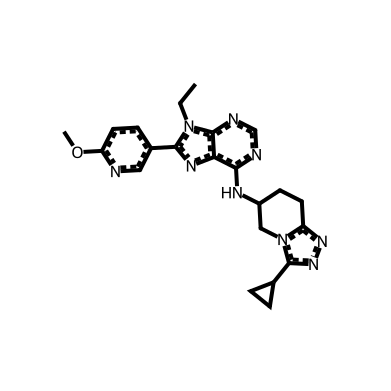 CCn1c(-c2ccc(OC)nc2)nc2c(NC3CCc4nnc(C5CC5)n4C3)ncnc21